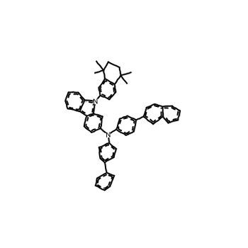 CC1(C)CCC(C)(C)c2cc(-n3c4ccccc4c4ccc(N(c5ccc(-c6ccccc6)cc5)c5ccc(-c6ccc7ccccc7c6)cc5)cc43)ccc21